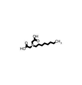 CCCCCCCCN(CC(=O)O)CC(=O)O